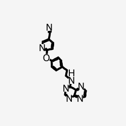 N#Cc1ccc(Oc2ccc(CCNc3ncnc4nccnc34)cc2)nc1